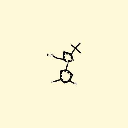 CC(C)(C)c1cc(CN)n(-c2cc(Cl)cc(Cl)c2)n1